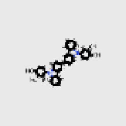 N#Cc1ccc(-n2c3ccccc3c3cc(-c4ccc5c(c4)c4ccccc4n5-c4ccc(C#N)c(C#N)c4C#N)ccc32)c(C#N)c1C#N